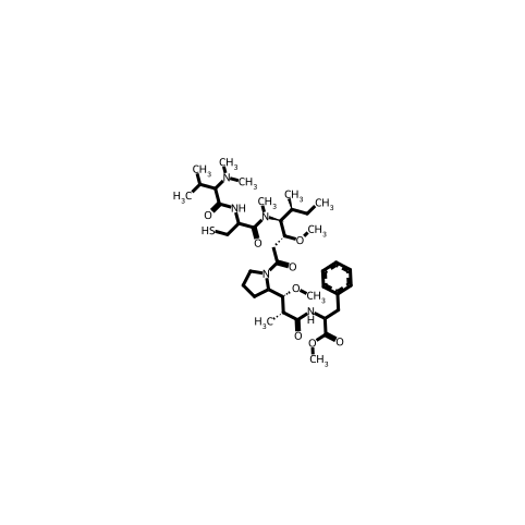 CC[C@H](C)[C@@H]([C@@H](CC(=O)N1CCCC1[C@H](OC)[C@@H](C)C(=O)NC(Cc1ccccc1)C(=O)OC)OC)N(C)C(=O)C(CS)NC(=O)C(C(C)C)N(C)C